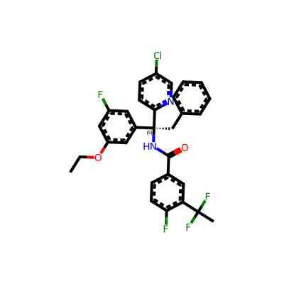 CCOc1cc(F)cc([C@](Cc2ccccc2)(NC(=O)c2ccc(F)c(C(C)(F)F)c2)c2ccc(Cl)cn2)c1